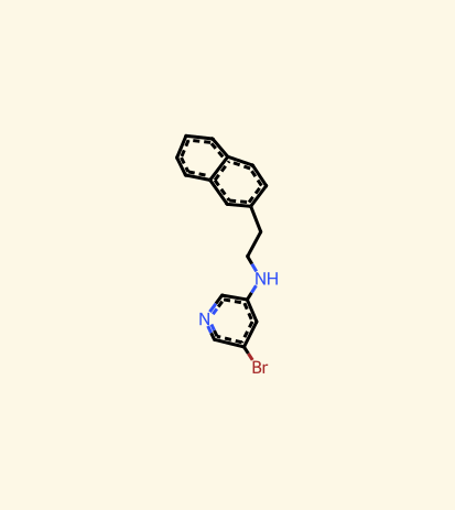 Brc1cncc(NCCc2ccc3ccccc3c2)c1